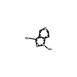 CC(C)(C)c1nn(C(C)(C)C)c2ccncc12